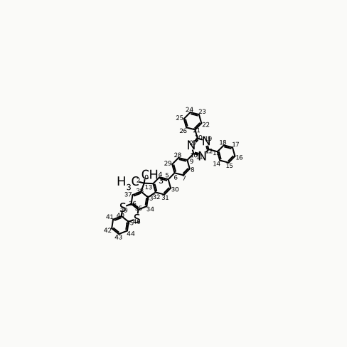 CC1(C)c2cc(-c3ccc(-c4nc(-c5ccccc5)nc(-c5ccccc5)n4)cc3)ccc2-c2cc3c(cc21)Sc1ccccc1S3